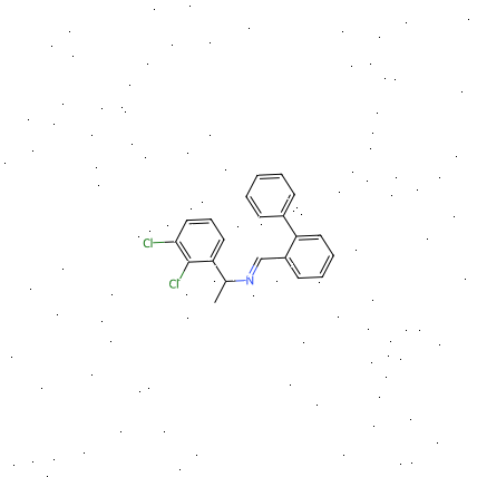 CC(N=Cc1ccccc1-c1ccccc1)c1cccc(Cl)c1Cl